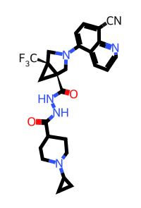 N#Cc1ccc(N2C[C@]3(C(=O)NNC(=O)C4CCN(C5CC5)CC4)C[C@]3(C(F)(F)F)C2)c2cccnc12